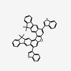 CC1(C)c2ccccc2-c2cc3c(-c4csc5ccccc45)cc4oc5cc(-c6csc7ccccc67)c6cc7c(cc6c5c4c3cc21)C(C)(C)c1ccccc1-7